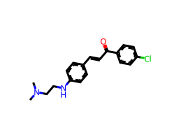 CN(C)CCNc1ccc(/C=C/C(=O)c2ccc(Cl)cc2)cc1